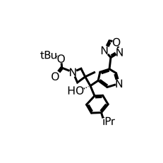 CC(C)c1ccc([C@](O)(c2cncc(-c3ncon3)c2)C2(C)CN(C(=O)OC(C)(C)C)C2)cc1